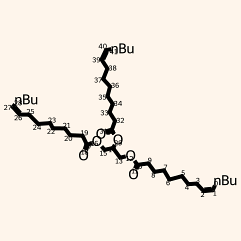 CCCC/C=C\CCCCCCCC(=O)OCC(COC(=O)CCCCCCC/C=C\CCCC)OC(=O)CCCCCCC/C=C\CCCC